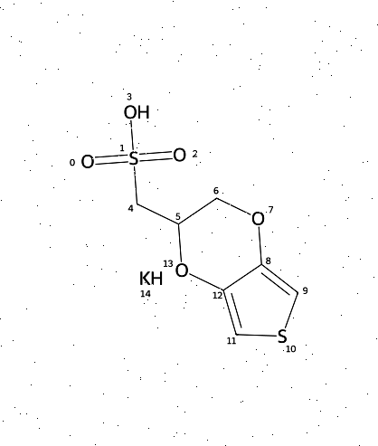 O=S(=O)(O)CC1COc2cscc2O1.[KH]